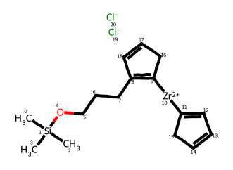 C[Si](C)(C)OCCCC1=[C]([Zr+2][C]2=CC=CC2)CC=C1.[Cl-].[Cl-]